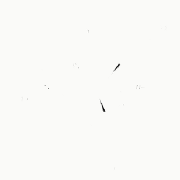 CC(C)C[C@H]1N[C@@H](C(=O)N(C)C)[C@H](c2ccc(Cl)cc2)[C@@]12C(=O)Nc1cc(Cl)ccc12